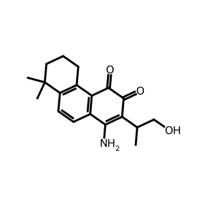 CC(CO)C1=C(N)c2ccc3c(c2C(=O)C1=O)CCCC3(C)C